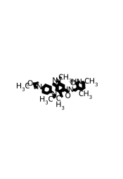 CCc1c(C(=O)NCc2c(C)cc(C)[nH]c2=O)cc2c(cnn2C)c1N(CC)C1CCC(N2CC(OC)C2)CC1